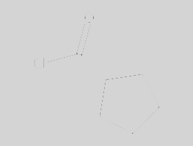 O=C(Cl)[C]1CCCC1